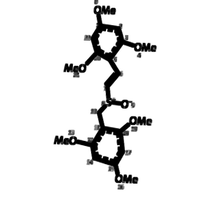 COc1cc(OC)c(C=C[S+]([O-])Cc2c(OC)cc(OC)cc2OC)c(OC)c1